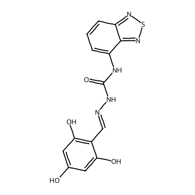 O=C(N/N=C/c1c(O)cc(O)cc1O)Nc1cccc2nsnc12